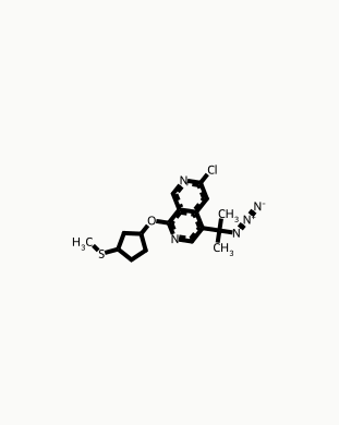 CSC1CCC(Oc2ncc(C(C)(C)N=[N+]=[N-])c3cc(Cl)ncc23)C1